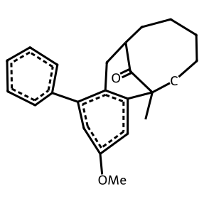 COc1cc(-c2ccccc2)c2c(c1)C1(C)CCCCCC(C2)C1=O